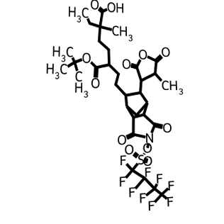 CCC(C)(CCC(CCC1C2CC(C3C(=O)N(OS(=O)(=O)C(F)(F)C(F)(F)C(F)(F)C(F)(F)F)C(=O)C23)C1C1C(=O)OC(=O)C1C)C(=O)OC(C)(C)C)C(=O)O